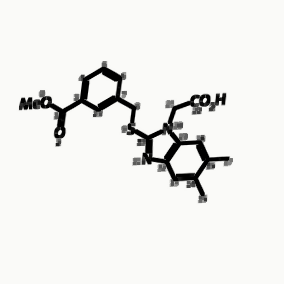 COC(=O)c1cccc(CSc2nc3cc(C)c(C)cc3n2CC(=O)O)c1